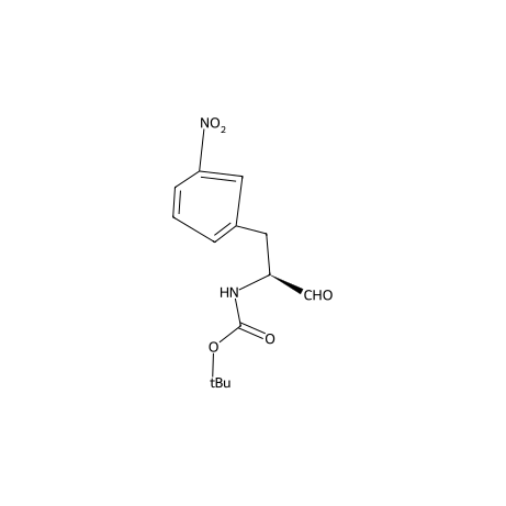 CC(C)(C)OC(=O)N[C@H](C=O)Cc1cccc([N+](=O)[O-])c1